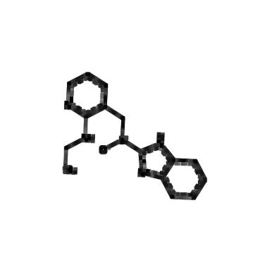 CC(C)(C)CNc1ncccc1C[S+]([O-])c1nc2ccccc2[nH]1